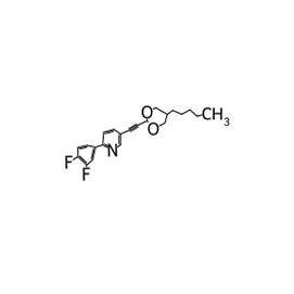 CCCCCC1COC(C#Cc2ccc(-c3ccc(F)c(F)c3)nc2)OC1